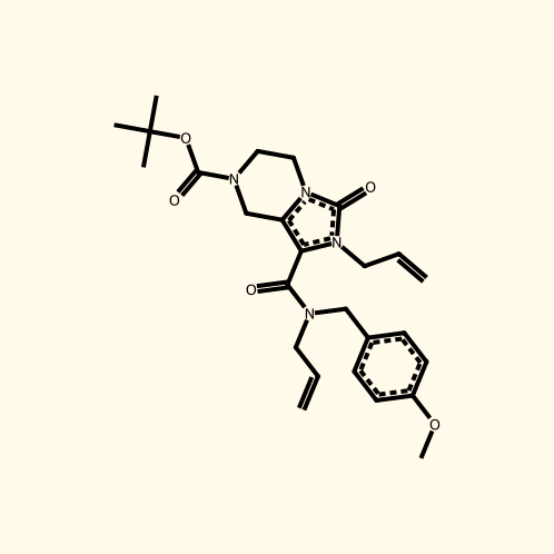 C=CCN(Cc1ccc(OC)cc1)C(=O)c1c2n(c(=O)n1CC=C)CCN(C(=O)OC(C)(C)C)C2